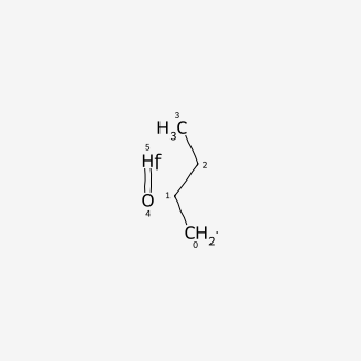 [CH2]CCC.[O]=[Hf]